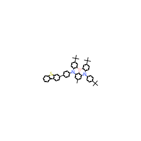 Cc1cc2c3c(c1)N(c1ccc(C(C)(C)C)cc1)c1ccc(C(C)(C)C)cc1B3c1cc(C(C)(C)C)ccc1N2c1ccc(-c2ccc3c(c2)sc2ccccc23)cc1